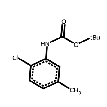 Cc1ccc(Cl)c(NC(=O)OC(C)(C)C)c1